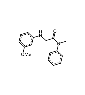 COc1cccc(NCC(=O)N(C)c2ccccc2)c1